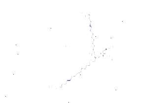 CCCC/C=C/CCCCCCCCOCC(C[N+](C)(C)CCO)OCCCCCCCC/C=C/CCCC.[Br-]